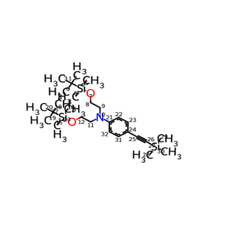 CC(C)(C)[Si](C)(C)OCCN(CCO[Si](C)(C)C(C)(C)C)c1ccc(C#C[Si](C)(C)C)cc1